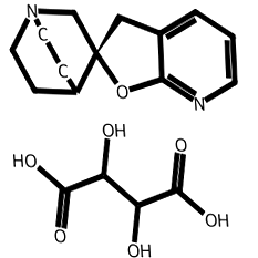 O=C(O)C(O)C(O)C(=O)O.c1cnc2c(c1)C[C@@]1(CN3CCC1CC3)O2